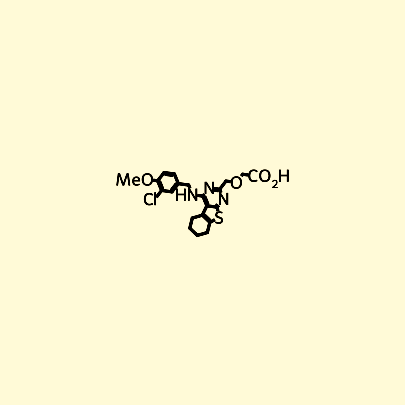 COc1ccc(CNc2nc(COCC(=O)O)nc3sc4c(c23)CCCC4)cc1Cl